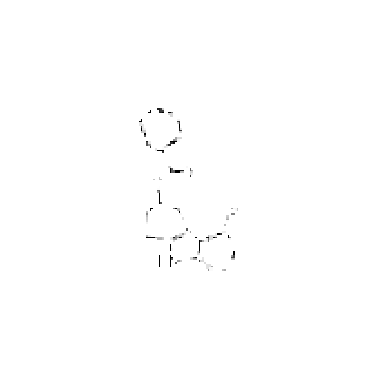 O=C(OC1CCc2[nH]c3cccc(Br)c3c2C1)c1ccccc1